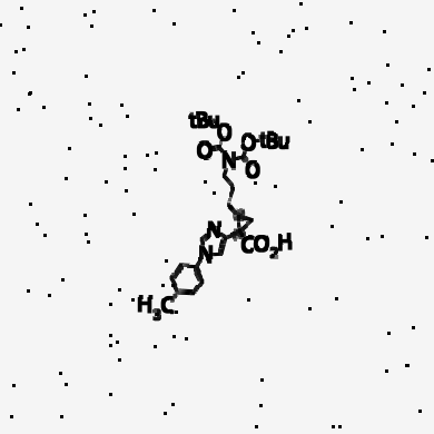 Cc1ccc(-n2cnc([C@@]3(C(=O)O)C[C@@H]3CCCN(C(=O)OC(C)(C)C)C(=O)OC(C)(C)C)c2)cc1